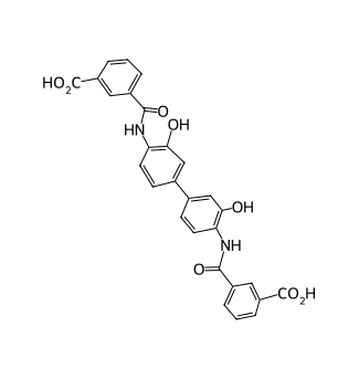 O=C(O)c1cccc(C(=O)Nc2ccc(-c3ccc(NC(=O)c4cccc(C(=O)O)c4)c(O)c3)cc2O)c1